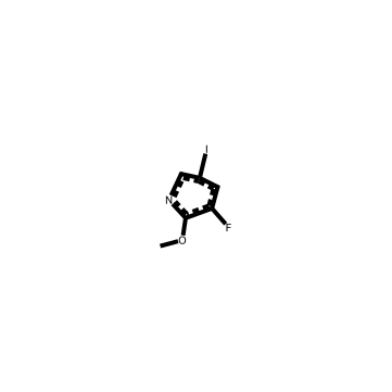 COc1ncc(I)cc1F